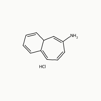 Cl.NC1=CC2C=CC=CC2=CC=C1